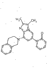 Cc1nc2c(N3CCc4ccccc4C3)cc(-n3ccccc3=O)cn2c1C